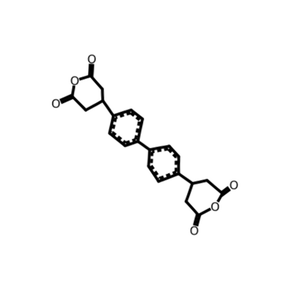 O=C1CC(c2ccc(-c3ccc(C4CC(=O)OC(=O)C4)cc3)cc2)CC(=O)O1